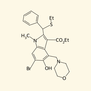 CCOC(=O)c1c(C(SCC)c2ccccc2)n(C)c2cc(Br)c(O)c(CN3CCOCC3)c12